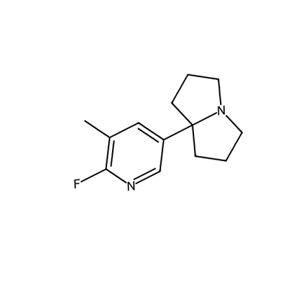 Cc1cc(C23CCCN2CCC3)cnc1F